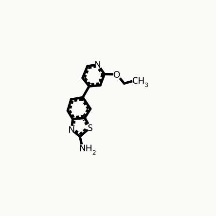 CCOc1cc(-c2ccc3nc(N)sc3c2)ccn1